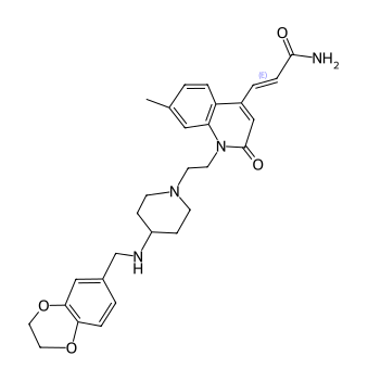 Cc1ccc2c(/C=C/C(N)=O)cc(=O)n(CCN3CCC(NCc4ccc5c(c4)OCCO5)CC3)c2c1